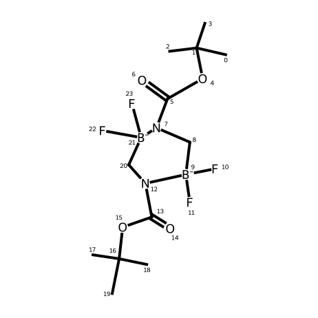 CC(C)(C)OC(=O)N1C[B-](F)(F)N(C(=O)OC(C)(C)C)C[B-]1(F)F